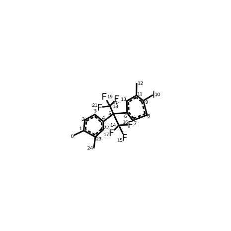 Cc1ccc(C(c2ccc(I)c(C)c2)(C(F)(F)F)C(F)(F)F)cc1C